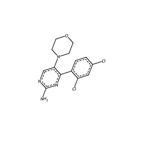 Nc1ncc(N2CCOCC2)c(-c2ccc(Cl)cc2Cl)n1